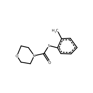 Cc1ccccc1SC(=O)N1CCOCC1